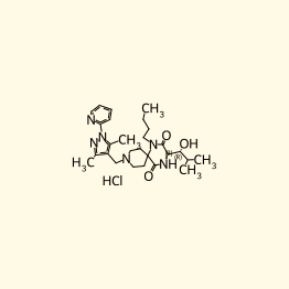 CCCCN1C(=O)[C@@H]([C@H](O)C(C)C)NC(=O)C12CCN(Cc1c(C)nn(-c3ccccn3)c1C)CC2.Cl